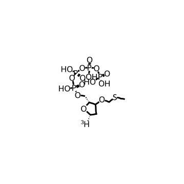 [3H][C@H]1CC(OCSC)[C@@H](COP(=O)(O)OP(=O)(O)OP(=O)(O)OP(=O)(O)O)O1